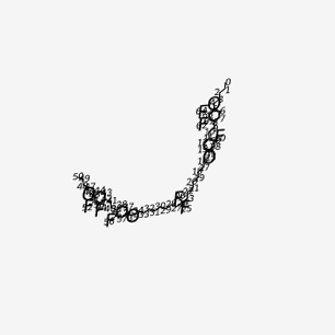 CCCCOc1ccc(CCc2ccc(OCCCCCCCCC(F)(F)CCCCCCCCOc3ccc(CCc4ccc(OCCCC)c(F)c4F)c(F)c3)cc2F)c(F)c1F